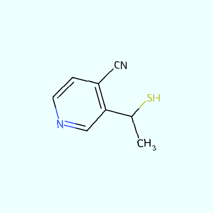 CC(S)c1cnccc1C#N